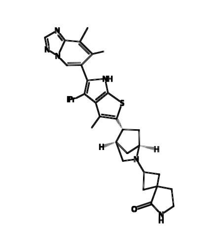 Cc1c(-c2[nH]c3sc([C@@H]4C[C@@H]5C[C@H]4CN5C4CC5(CCNC5=O)C4)c(C)c3c2C(C)C)cn2ncnc2c1C